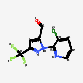 O=Cc1cc(C(F)(F)F)nn1-c1ncccc1Cl